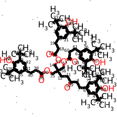 CC(C)(C)c1cc(CCC(=O)CCC(COC(=O)CCc2cc(C(C)(C)C)c(O)c(C(C)(C)C)c2)(COC(=O)CCc2cc(C(C)(C)C)c(O)c(C(C)(C)C)c2)COC(=O)CCc2cc(C(C)(C)C)c(O)c(C(C)(C)C)c2)cc(C(C)(C)C)c1O